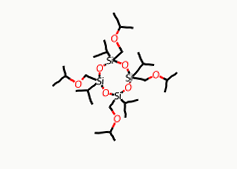 CC(C)OC[Si]1(C(C)C)O[Si](COC(C)C)(C(C)C)O[Si](COC(C)C)(C(C)C)O[Si](COC(C)C)(C(C)C)O1